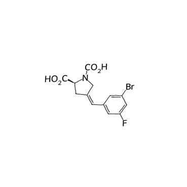 O=C(O)[C@@H]1CC(=Cc2cc(F)cc(Br)c2)CN1C(=O)O